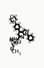 COCCS(=O)(=O)NC(=O)c1cc(-c2ccc(N3CCOCC3)cc2)c2cnn(-c3ccccc3)c2n1